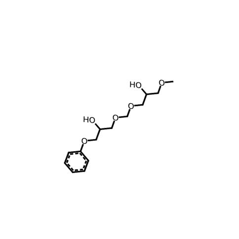 COCC(O)COCOCC(O)COc1ccccc1